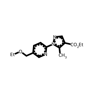 CCOCc1ccc(-n2ncc(C(=O)OCC)c2C)nc1